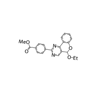 CCOC1Oc2ccccc2-c2nc(-c3ccc(C(=O)OC)cc3)ncc21